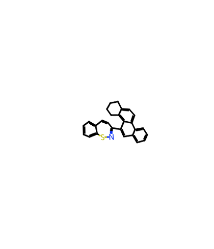 C1=Cc2ccccc2SN=C1c1cc2ccccc2c2ccc3c(c12)CCCC3